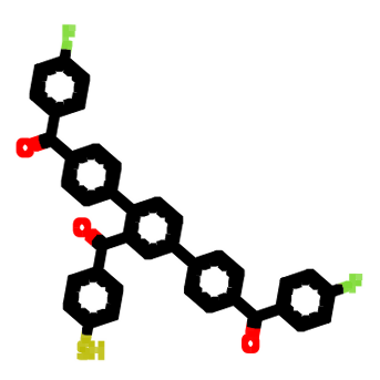 O=C(c1ccc(F)cc1)c1ccc(-c2ccc(-c3ccc(C(=O)c4ccc(F)cc4)cc3)c(C(=O)c3ccc(S)cc3)c2)cc1